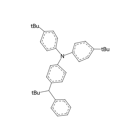 CC(C)(C)c1ccc(N(c2ccc(C(c3ccccc3)C(C)(C)C)cc2)c2ccc(C(C)(C)C)cc2)cc1